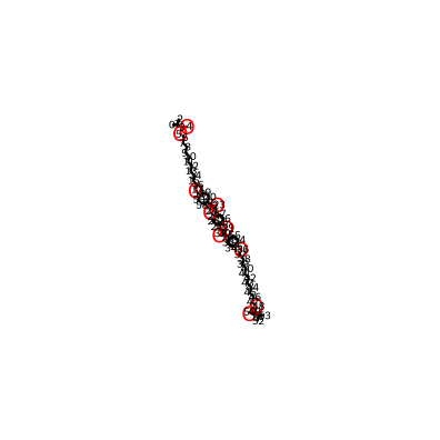 C=C(C)C(=O)OCCCCCCCCCCCOC1CCC(C(=O)Oc2ccc(OC(=O)c3ccc(OCCCCCCCCCCCOC(=O)C(C)C)cc3)cc2)CC1